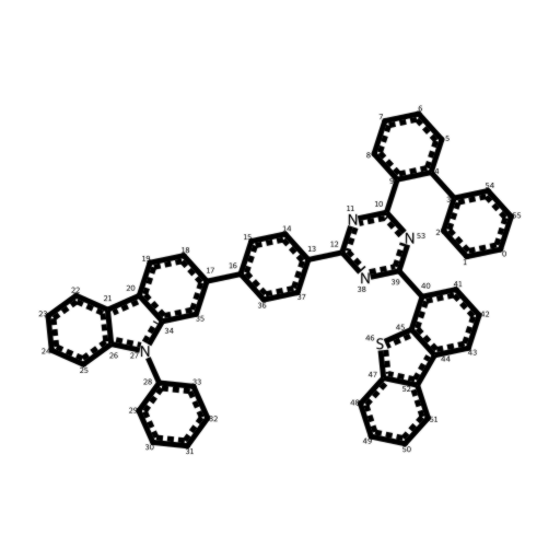 c1ccc(-c2ccccc2-c2nc(-c3ccc(-c4ccc5c6ccccc6n(-c6ccccc6)c5c4)cc3)nc(-c3cccc4c3sc3ccccc34)n2)cc1